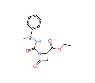 CCOC(=O)C1CC(=O)N1C(=O)N[C@H](C)c1ccccc1